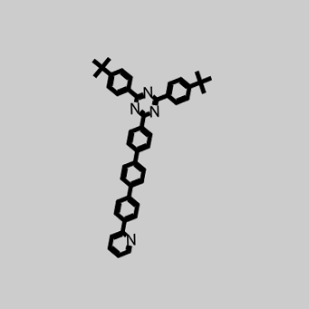 CC(C)(C)c1ccc(-c2nc(-c3ccc(-c4ccc(-c5ccc(-c6ccccn6)cc5)cc4)cc3)nc(-c3ccc(C(C)(C)C)cc3)n2)cc1